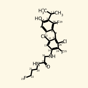 CC(C)c1c(O)ccc(Cc2c(Cl)cc(NCC(=O)NCCCF)c(F)c2Cl)c1F